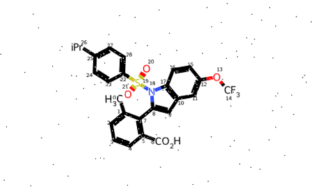 Cc1cccc(C(=O)O)c1-c1cc2cc(OC(F)(F)F)ccc2n1S(=O)(=O)c1ccc(C(C)C)cc1